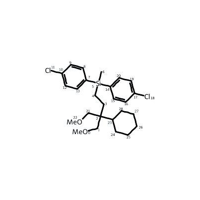 COCC(CC[Si](C)(c1ccc(Cl)cc1)c1ccc(Cl)cc1)(COC)C1CCCCC1